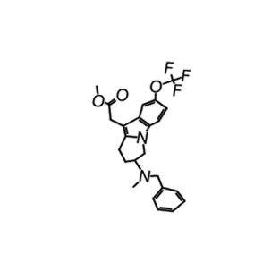 COC(=O)Cc1c2n(c3ccc(OC(F)(F)F)cc13)CC(N(C)Cc1ccccc1)CC2